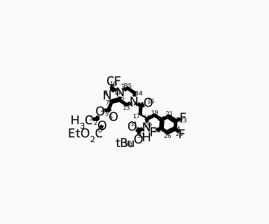 CCOC(=O)OC(C)OC(=O)c1nc(C(F)(F)F)n2c1CN(C(=O)C[C@@H](Cc1cc(F)c(F)cc1F)NC(=O)OC(C)(C)C)CC2